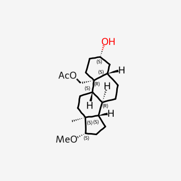 CO[C@H]1CC[C@H]2[C@@H]3CC[C@H]4C[C@@H](O)CC[C@]4(COC(C)=O)[C@H]3CC[C@]12C